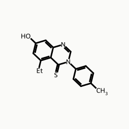 CCc1cc(O)cc2ncn(-c3ccc(C)cc3)c(=S)c12